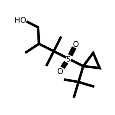 CC(CO)C(C)(C)S(=O)(=O)C1(C(C)(C)C)CC1